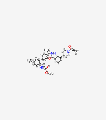 C[C@@H](NC(=O)c1cccc(C2CCN(C(=O)C3CC3)CC2)c1)c1ccc(-c2cc(C(F)(F)F)ccc2CNC(=O)OC(C)(C)C)cc1